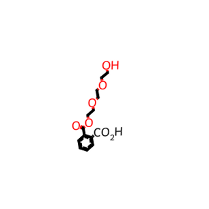 O=C(O)c1ccccc1C(=O)OCCOCCOCCO